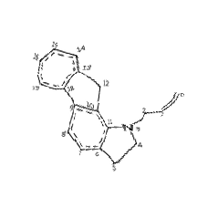 C=CCN1CCc2ccc3c(c21)Cc1ccccc1-3